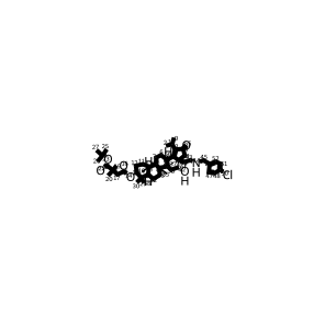 CC(C)C1=C2[C@H]3CC[C@@H]4[C@@]5(C)CC[C@H](OC(=O)CC(C)(C)C(=O)OC(C)(C)C)C(C)(C)[C@H]5CC[C@@]4(C)[C@]3(C)CC[C@@]2([C@@H](O)CNCc2ccc(Cl)cc2)CC1=O